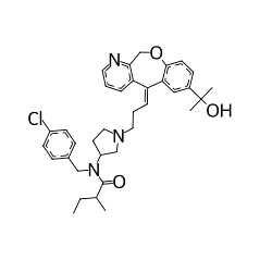 CCC(C)C(=O)N(Cc1ccc(Cl)cc1)C1CCN(CCC=C2c3cc(C(C)(C)O)ccc3OCc3ncccc32)C1